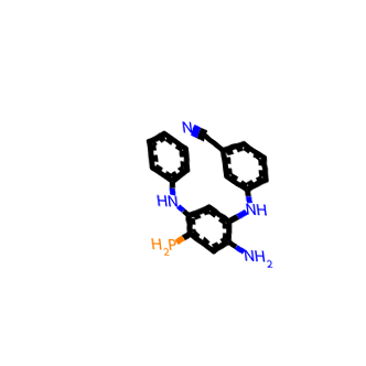 N#Cc1cccc(Nc2cc(Nc3ccccc3)c(P)cc2N)c1